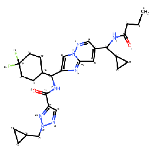 CCCC(=O)NC(c1cnn2cc([C@@H](NC(=O)c3cnn(CC4CC4)n3)C3CCC(F)(F)CC3)nc2c1)C1CC1